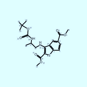 COC(=O)c1ccc2sc(C(=O)OC)c(NCC(C)NC(=O)OC(C)(C)C)c2c1